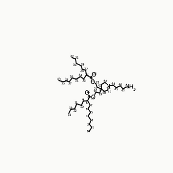 CCCCCCCCC(CCCCCC)C(=O)OCCC1(CCOC(=O)C(CCCCCC)CCCCCCCC)CCN(CCCCN)CC1